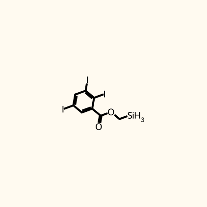 O=C(OC[SiH3])c1cc(I)cc(I)c1I